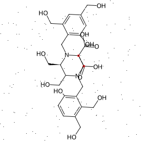 O=C(O)CCN(Cc1c(O)ccc(CO)c1CO)C(CO)[C@@H](CO)N(CC(=O)O)Cc1c(O)cc(CO)cc1CO